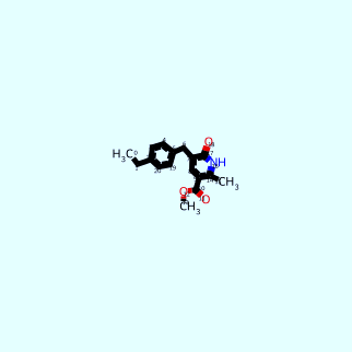 CCc1ccc(Cc2cc(C(=O)OC)c(C)[nH]c2=O)cc1